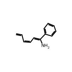 C=C/C=C\C=C(/N)c1ccccc1